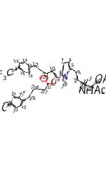 CC(=O)N[C@](C)(CCc1ccc(C(=CCCc2ccc(C(F)(F)F)cc2)OC(=O)CCCc2ccc(C(F)(F)F)cc2)n1C)COC(C)=O